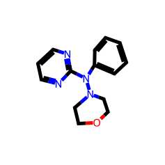 c1ccc(N(c2ncccn2)N2CCOCC2)cc1